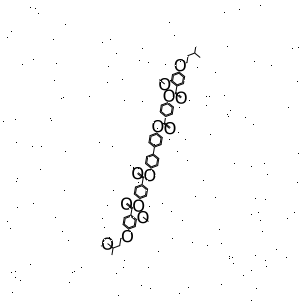 COc1cc(OCCC(C)C)ccc1C(=O)Oc1ccc(C(=O)Oc2ccc(-c3ccc(OC(=O)c4ccc(OC(=O)c5ccc(OCCC(C)OC)cc5OC)cc4)cc3)cc2)cc1